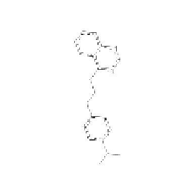 CC(C)c1ccc(CCCc2ncnc3ccccc23)cc1